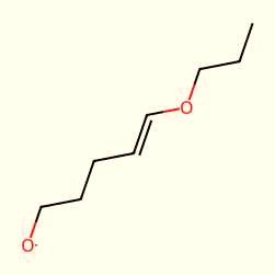 CCCOC=CCCC[O]